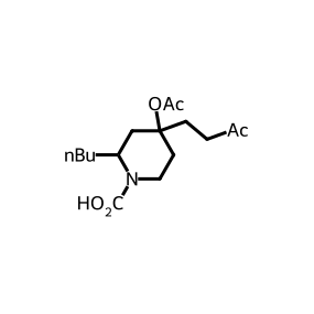 CCCCC1CC(CCC(C)=O)(OC(C)=O)CCN1C(=O)O